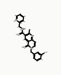 Cc1nc2ccn(Cc3cccc(F)c3)c(=O)c2cc1C(=O)NCc1ccccn1